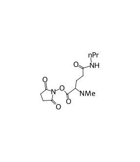 CCCNC(=O)CCC(NC)C(=O)ON1C(=O)CCC1=O